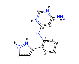 Cn1ccc(-c2ccccc2Nc2cc(N)ncn2)n1